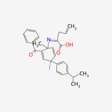 C=CCC(=NC1(C)C=CC(I)(c2ccc(C(C)C)cc2)C=C1C(=O)c1ccccc1)C(=O)O